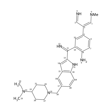 CN/C=C(\C=N)c1ccc(N)c(C(=N)c2cc3cc(CN4CCC(N(C)C)CC4)ccc3[nH]2)c1